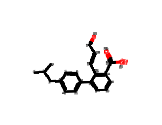 CC(C)Cc1ccc(-c2cccc(C(=O)O)c2C=CC=O)cc1